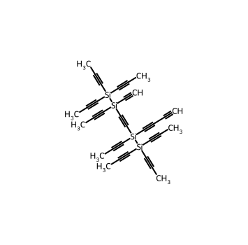 C#CC#C[Si](C#CC)(C#C[Si](C#C)(C#CC)[Si](C#CC)(C#CC)C#CC)[Si](C#CC)(C#CC)C#CC